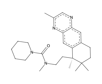 Cc1cnc2cc3c(cc2n1)[C@](C)(CCN(C)C(=O)N1CCCCC1)C(C)(C)CC3